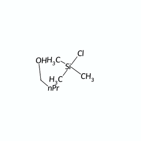 CCCCO.C[Si](C)(C)Cl